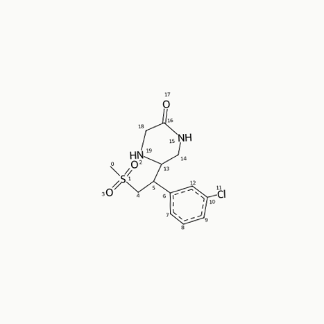 CS(=O)(=O)CC(c1cccc(Cl)c1)C1CNC(=O)CN1